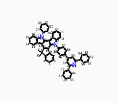 CC1(C)c2ccccc2-c2c1c1c3ccccc3n(-c3ccccc3)c1c1c3ccccc3n(-c3ccc(-c4cc(-c5ccccc5)nc(-c5ccccc5)c4)cc3)c21